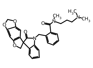 CN(C)CCCN(C)C(=O)c1ccccc1CN1C(=O)C2(COc3cc4c(cc32)OCO4)c2ccccc21